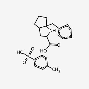 Cc1ccc(S(=O)(=O)O)cc1.O=C(O)C1CC2CCCC2(Cc2ccccc2)N1